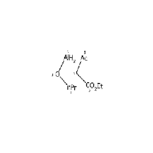 CCC[O][AlH2].CCOC(=O)CC(C)=O